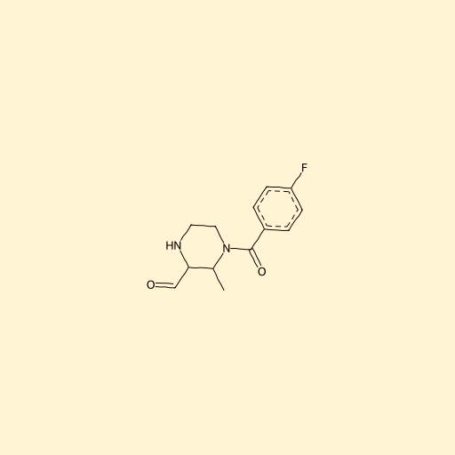 CC1C(C=O)NCCN1C(=O)c1ccc(F)cc1